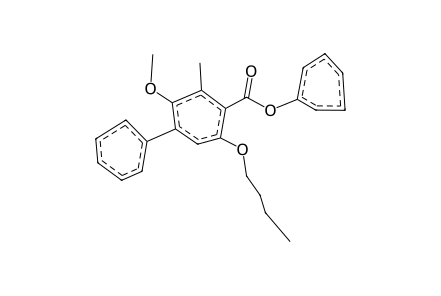 CCCCOc1cc(-c2ccccc2)c(OC)c(C)c1C(=O)Oc1ccccc1